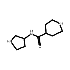 O=C(NC1CCNC1)C1CCNCC1